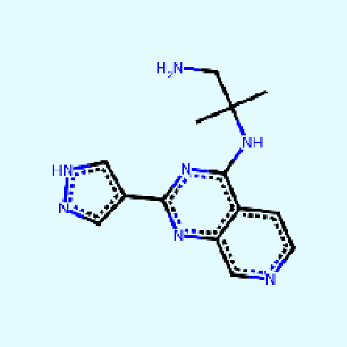 CC(C)(CN)Nc1nc(-c2cn[nH]c2)nc2cnccc12